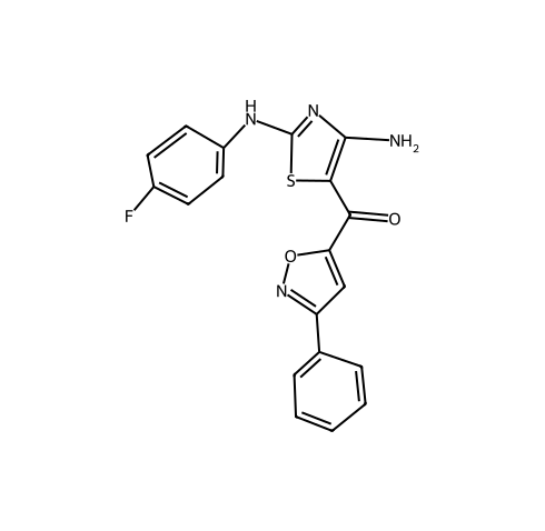 Nc1nc(Nc2ccc(F)cc2)sc1C(=O)c1cc(-c2ccccc2)no1